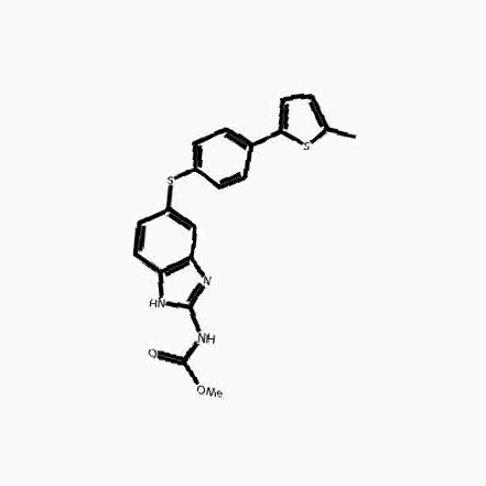 COC(=O)Nc1nc2cc(Sc3ccc(-c4ccc(C)s4)cc3)ccc2[nH]1